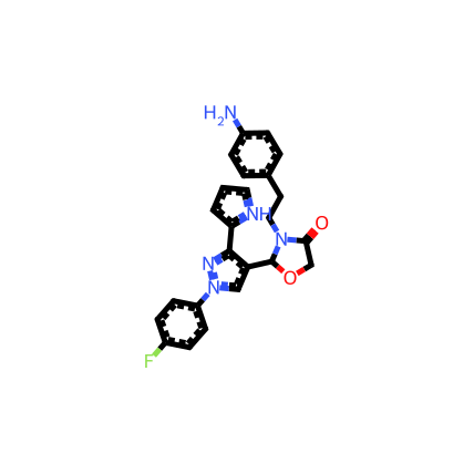 Nc1ccc(CCN2C(=O)COC2c2cn(-c3ccc(F)cc3)nc2-c2ccc[nH]2)cc1